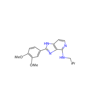 COc1ccc(-c2nc3c(NCC(C)C)nccc3[nH]2)cc1OC